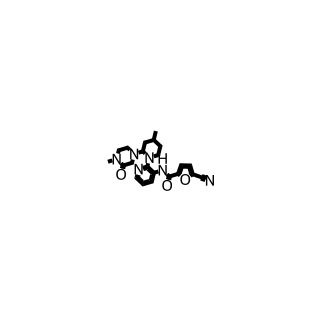 CC1CCN(c2ncccc2NC(=O)c2ccc(C#N)o2)C(N2CCN(C)C(=O)C2)C1